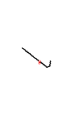 CCCCC/C=C\C/C=C\CCCCCCCC(=O)OCCCCCCCCCCCCCCCCCCCCCC